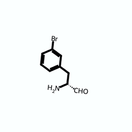 N[C@@H](C=O)Cc1cccc(Br)c1